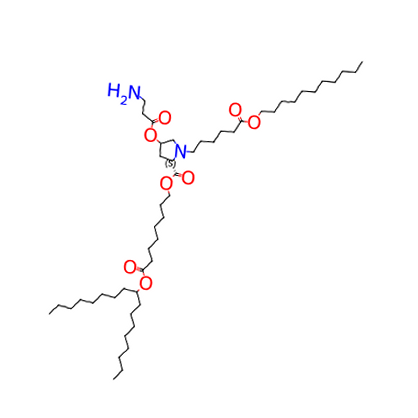 CCCCCCCCCCCOC(=O)CCCCCN1CC(OC(=O)CCN)C[C@H]1C(=O)OCCCCCCCC(=O)OC(CCCCCCCC)CCCCCCCC